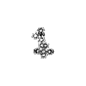 c1ccc(-n2c(-c3ccc(-c4ccc5c6c(cccc46)-c4c-5c(-c5ccncc5)c5ccccc5c4-c4ccncc4)cc3)nc3ccccc32)cc1